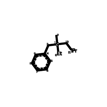 CCS(C)(Cc1ccccc1)CC(C)C